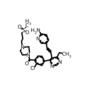 CCc1ncnc(-c2ccc(C(=O)N3CCN(CCCS(C)(=O)=O)CC3)c(Cl)c2)c1C#Cc1ccc(N)nc1